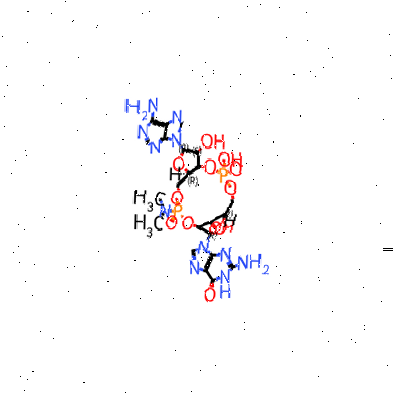 CN(C)P1(=O)OC[C@H]2O[C@@H](n3cnc4c(N)ncnc43)[C@@H](O)C2OP(=O)(O)OC[C@H]2O[C@@H](n3cnc4c(=O)[nH]c(N)nc43)C(O1)C2O